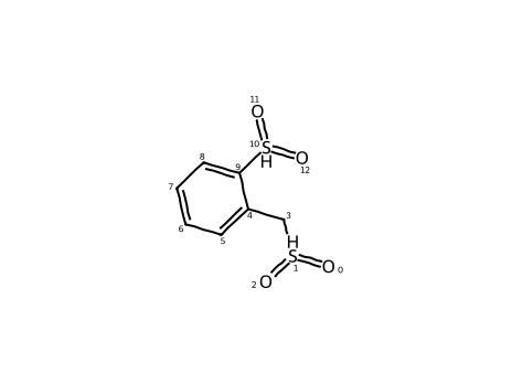 O=[SH](=O)Cc1ccccc1[SH](=O)=O